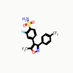 NS(=O)(=O)c1ccc(-c2c(-c3ccc(C(F)(F)F)cc3)noc2C(F)(F)F)cc1F